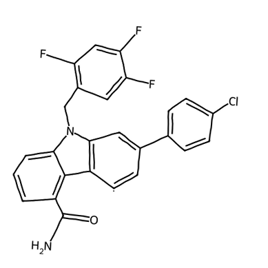 NC(=O)c1cccc2c1c1[c]cc(-c3ccc(Cl)cc3)cc1n2Cc1cc(F)c(F)cc1F